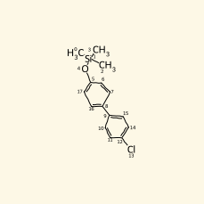 C[Si](C)(C)Oc1ccc(-c2ccc(Cl)cc2)cc1